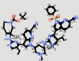 CCc1cnc(N[C@]2([SiH3])CCCN(C(=O)OC(C)(C)C)C2)nc1-c1cn(C2CN(C)C[C@]([SiH3])(Nc3ncc(CC)c(-c4cn(S(=O)(=O)c5ccccc5)c5nc(C#N)ccc45)n3)C2)c2nc(C#N)ccc12